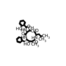 CC(C)CC1NC(=O)[C@H](C)[C@H](O)[C@H](Cc2ccccc2)NC(=O)[C@@H](NC(=O)c2ccccc2O)[C@@H](C)OC1=O